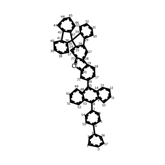 c1ccc(-c2ccc(-c3c4ccccc4c(-c4ccc5c(c4)oc4cc6c(cc45)-c4ccccc4C64c5ccccc5-c5ccccc54)c4ccccc34)cc2)cc1